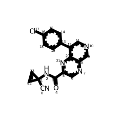 N#CC1(NC(=O)c2cnc3cncc(-c4ccc(Cl)cc4)c3n2)C=C1